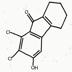 O=C1C2=C(CCCC2)c2cc(O)c(Cl)c(Cl)c21